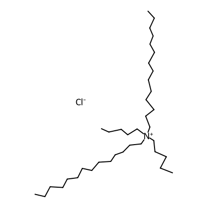 CCCCCCCCCCCCCC[N+](CCCCC)(CCCCC)CCCCCCCCCCCCCC.[Cl-]